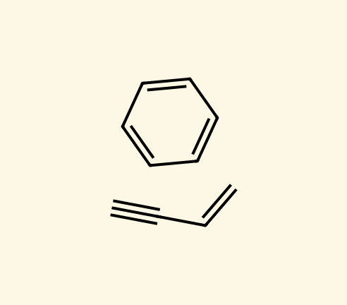 C#CC=C.c1ccccc1